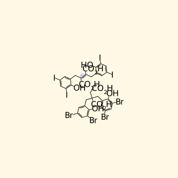 O=C(O)/C(Cc1cc(I)cc(I)c1O)=C(\Cc1cc(I)cc(I)c1O)C(=O)O.O=C(O)CC(Cc1cc(Br)cc(Br)c1O)(Cc1cc(Br)cc(Br)c1O)C(=O)O